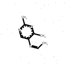 C/C=N\c1cnc(C)nc1C